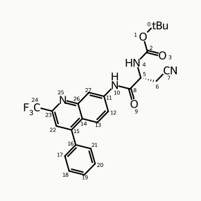 CC(C)(C)OC(=O)N[C@H](CC#N)C(=O)Nc1ccc2c(-c3ccccc3)cc(C(F)(F)F)nc2c1